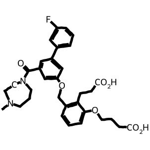 CN1CCCN(C(=O)c2cc(OCc3cccc(OCCCC(=O)O)c3CCC(=O)O)cc(-c3cccc(F)c3)c2)CC1